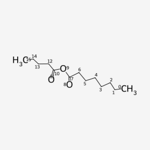 CCCCCCCC(=O)OC(=O)CCCC